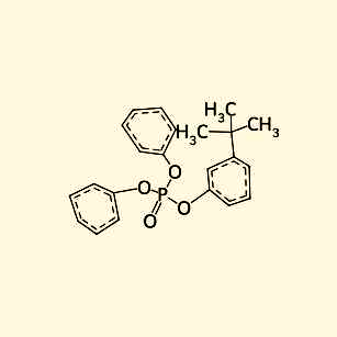 CC(C)(C)c1cccc(OP(=O)(Oc2ccccc2)Oc2ccccc2)c1